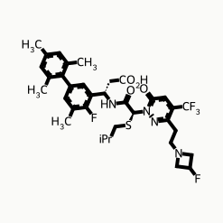 Cc1cc(C)c(-c2cc(C)c(F)c([C@H](CC(=O)O)NC(=O)[C@H](SCC(C)C)n3nc(CCN4CC(F)C4)c(C(F)(F)F)cc3=O)c2)c(C)c1